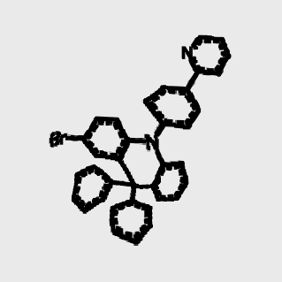 Brc1ccc2c(c1)C(c1ccccc1)(c1ccccc1)c1ccccc1N2c1ccc(-c2ccccn2)cc1